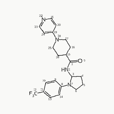 O=C(NC1CCCN1c1ccc(C(F)(F)F)cc1)C1CCN(c2ccncc2)CC1